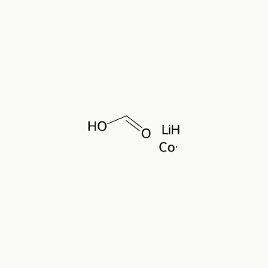 O=CO.[Co].[LiH]